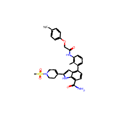 Cc1c(NC(=O)COc2ccc(C#N)cc2)cccc1-c1ccc(C(N)=O)c2[nH]c(C3=CCN(S(C)(=O)=O)CC3)cc12